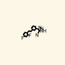 N#Cc1[nH]nnc1-c1cccc(C=Cc2ccc(F)cc2F)c1